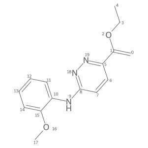 C=C(OCC)c1ccc(Nc2ccccc2OC)nn1